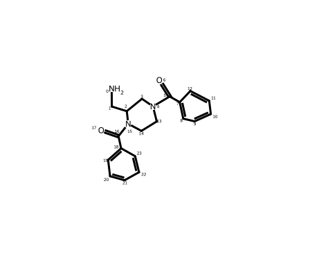 NCC1CN(C(=O)c2ccccc2)CCN1C(=O)c1ccccc1